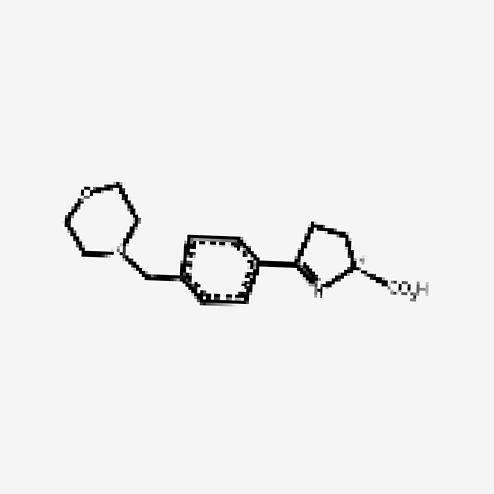 O=C(O)[C@@H]1CCC(c2ccc(CN3CCOCC3)cc2)=N1